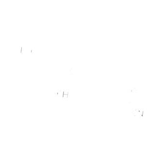 CC1=CC(SCCCCCC(=O)C#N)=C(C)CC1